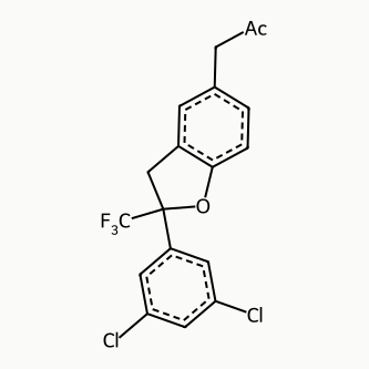 CC(=O)Cc1ccc2c(c1)CC(c1cc(Cl)cc(Cl)c1)(C(F)(F)F)O2